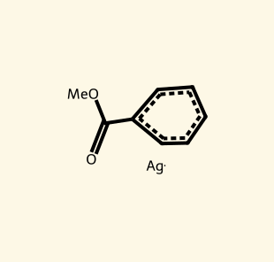 COC(=O)c1ccccc1.[Ag]